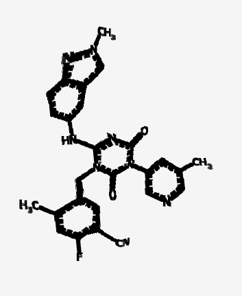 Cc1cncc(-n2c(=O)nc(Nc3ccc4nn(C)cc4c3)n(Cc3cc(C#N)c(F)cc3C)c2=O)c1